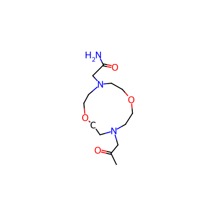 CC(=O)CN1CCOCCN(CC(N)=O)CCOCC1